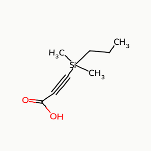 CCC[Si](C)(C)C#CC(=O)O